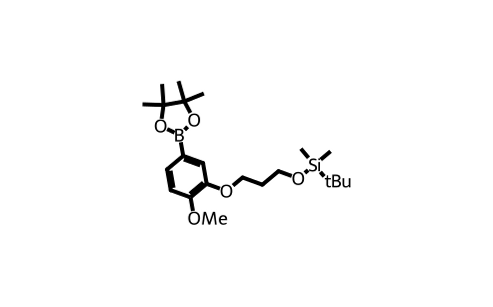 COc1ccc(B2OC(C)(C)C(C)(C)O2)cc1OCCCO[Si](C)(C)C(C)(C)C